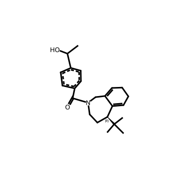 CC(O)c1ccc(C(=O)N2CC[C@H](C(C)(C)C)C3=CCCC=C3C2)cc1